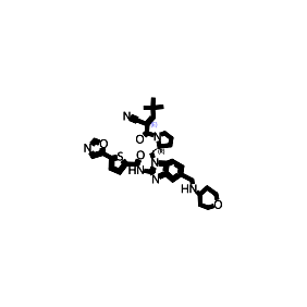 CC(C)(C)/C=C(\C#N)C(=O)N1CCC[C@@H]1Cn1c(NC(=O)c2ccc(-c3cnco3)s2)nc2cc(CNC3CCOCC3)ccc21